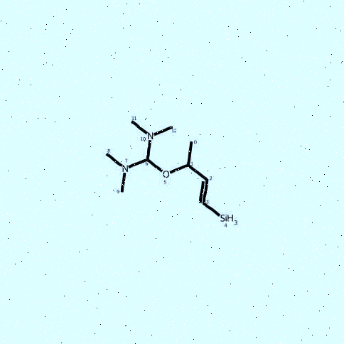 CC(C=C[SiH3])OC(N(C)C)N(C)C